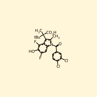 Cc1c([C@](C)(C(=O)O)C(C)(C)C)c2c(F)c(O)c(F)cc2n1C(=O)c1ccc(Cl)c(Cl)c1